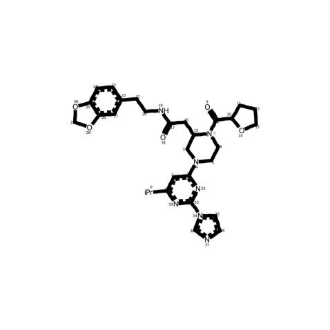 CC(C)c1cc(N2CCN(C(=O)C3CCCO3)C(CC(=O)NCCc3ccc4c(c3)OCO4)C2)nc(-n2ccnc2)n1